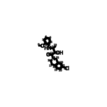 COc1ccccc1NC(C)C(O)C(=O)N1CCc2ccc(Cl)cc2C1